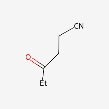 CCC(=O)CCC#N